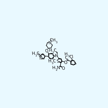 C=CN(c1cc(O[C@H](C)c2ccccc2Cl)c(C(N)=O)s1)c1cc(OC2CCN(C)CC2)c(-c2cnn(C)c2)cc1C